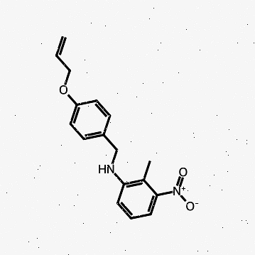 C=CCOc1ccc(CNc2cccc([N+](=O)[O-])c2C)cc1